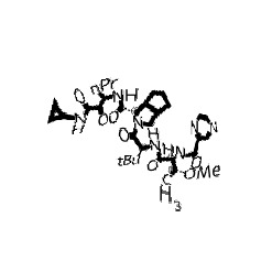 CCCC(NC(=O)[C@@H]1C2CCCC2CN1C(=O)[C@@H](NC(=O)[C@@H](NC(=O)c1cnccn1)[C@@H](C)OC)C(C)(C)C)C(=O)C(=O)NC1CC1